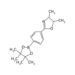 CC1N=C(c2ccc(B3OC(C)(C)C(C)(C)O3)cc2)OC1C